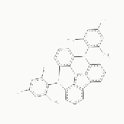 Cc1cc(C)c(B2c3cccc4c3-n3c5c2cccc5c2cccc(c23)B4c2c(C)cc(C)cc2C)c(C)c1